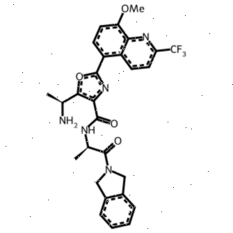 COc1ccc(-c2nc(C(=O)N[C@H](C)C(=O)N3Cc4ccccc4C3)c([C@H](C)N)o2)c2ccc(C(F)(F)F)nc12